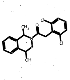 CC1c2ccccc2C(O)CN1C(=O)Cc1c(Cl)cccc1Cl